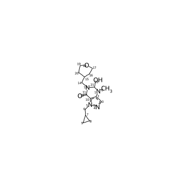 CN1c2cnn(CC3CC3)c2C(=O)N(CC2CCOCC2)C1O